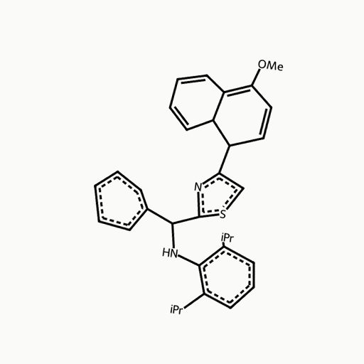 COC1=C2C=CC=CC2C(c2csc(C(Nc3c(C(C)C)cccc3C(C)C)c3ccccc3)n2)C=C1